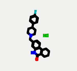 Cl.O=c1[nH]c2cc(CN3CCC(c4ccc(F)cc4)CC3)ccc2c2c1CCCC2